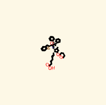 C=C1C[C@H](OC2CCCCO2)[C@H](CC=CCCCC(=O)O)[C@H]1/C=C/[C@@H](O[Si](c1ccccc1)(c1ccccc1)C(C)(C)C)c1cc2ccccc2s1